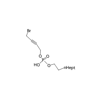 CCCCCCCCCOP(=O)(O)OCC#CCBr